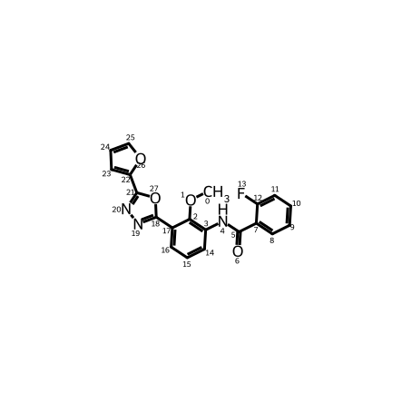 COc1c(NC(=O)c2ccccc2F)cccc1-c1nnc(-c2ccco2)o1